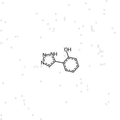 Oc1ccccc1-c1[c]nn[nH]1